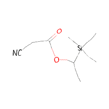 CC(OC(=O)CC#N)[Si](C)(C)C